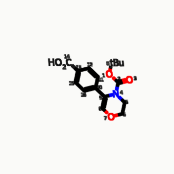 CC(C)(C)OC(=O)N1CCOC=C1c1ccc(C(=O)O)cc1